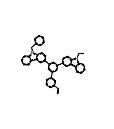 C=Cc1cccc(-c2cc(-c3ccc4c(c3)c3ccccc3n4CC)cc(-c3ccc4c(c3)c3ccccc3n4Cc3ccccc3)c2)c1